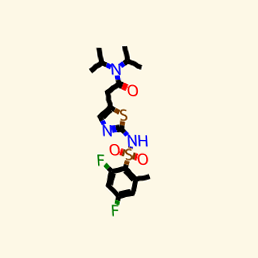 Cc1cc(F)cc(F)c1S(=O)(=O)Nc1ncc(CC(=O)N(C(C)C)C(C)C)s1